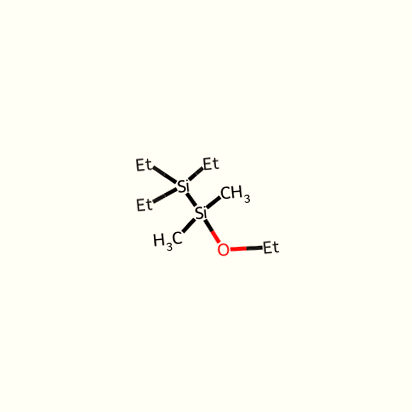 CCO[Si](C)(C)[Si](CC)(CC)CC